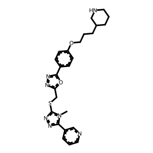 Cn1c(SCc2nnc(-c3ccc(OCCCC4CCCNC4)cc3)o2)nnc1-c1cccnc1